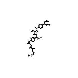 C=C/C=C(\C=C/C)c1ccc(C(C)SC(C=C)C(C)C[C@H](CC)C2=CSC([C@@]3(C)C[C@@H]3/C=C(C)/C(C)=C/C=C\CC)=CC2)cc1